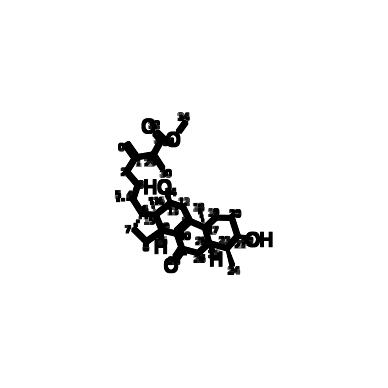 C=C(CC[C@@H](C)[C@H]1CC[C@H]2C3=C(C[C@H](O)[C@]12C)[C@@]1(C)CC[C@@H](O)[C@@H](C)[C@@H]1CC3=O)C(C)C(=O)OC